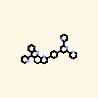 c1ccc(-c2cc(-c3ccc(-c4ccc5c(n4)-c4nc6ccccc6c(-c6ccccn6)c4CC5)cc3)cc(-c3ccccn3)n2)nc1